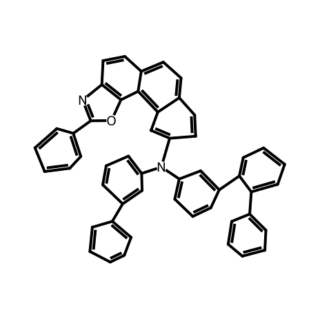 c1ccc(-c2cccc(N(c3cccc(-c4ccccc4-c4ccccc4)c3)c3ccc4ccc5ccc6nc(-c7ccccc7)oc6c5c4c3)c2)cc1